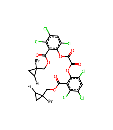 CCC1CC1(COC(=O)c1c(Cl)c(Cl)cc(Cl)c1OC(=O)C(=O)Oc1c(Cl)cc(Cl)c(Cl)c1C(=O)OCC1(C(C)C)CC1CC)C(C)C